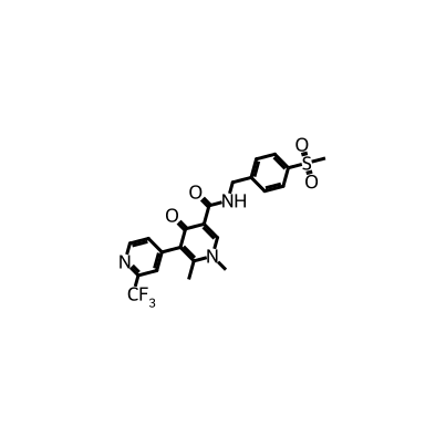 Cc1c(-c2ccnc(C(F)(F)F)c2)c(=O)c(C(=O)NCc2ccc(S(C)(=O)=O)cc2)cn1C